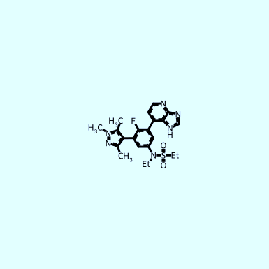 CCN(c1cc(-c2c(C)nn(C)c2C)c(F)c(-c2ccnc3nc[nH]c23)c1)S(=O)(=O)CC